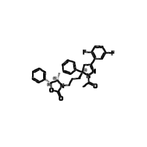 CC(=O)N1N=C(c2cc(F)ccc2F)C[C@@]1(CCCN1C(=O)O[C@H](c2ccccc2)[C@@H]1C)c1ccccc1